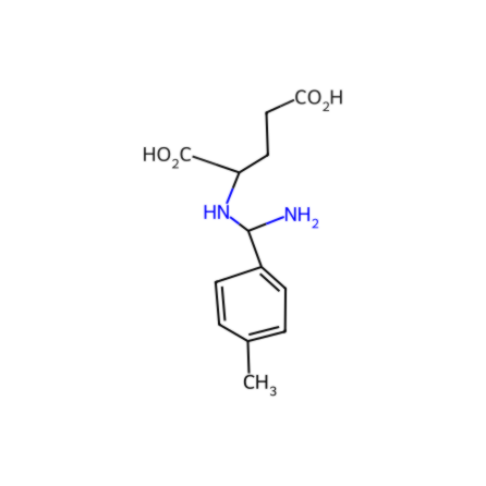 Cc1ccc(C(N)NC(CCC(=O)O)C(=O)O)cc1